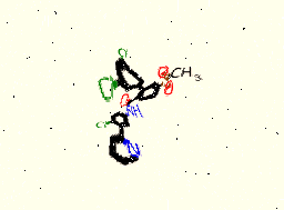 CS(=O)(=O)c1ccc(C(=O)Nc2ccc(Cl)c(-c3ccccn3)c2)c(-c2cc(Cl)cc(Cl)c2)c1